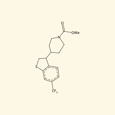 COC(=O)N1CCC(C2CSc3cc(C(F)(F)F)ccc32)CC1